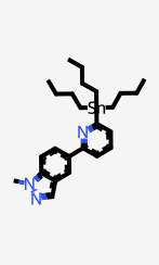 CCC[CH2][Sn]([CH2]CCC)([CH2]CCC)[c]1cccc(-c2ccc3c(cnn3C)c2)n1